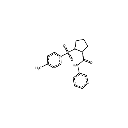 Cc1ccc(S(=O)(=O)N2CCC[C@H]2[C](=O)[AlH][c]2ccccc2)cc1